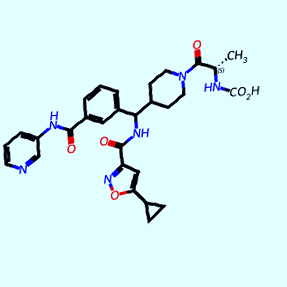 C[C@H](NC(=O)O)C(=O)N1CCC(C(NC(=O)c2cc(C3CC3)on2)c2cccc(C(=O)Nc3cccnc3)c2)CC1